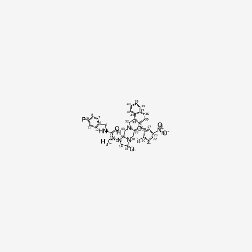 CN(C(=O)NCc1ccc(F)cc1)N1CC(=O)N2[C@@H](Cc3ccc([N+](=O)[O-])cc3)C(=O)N(Cc3cccc4ccccc34)C[C@@H]21